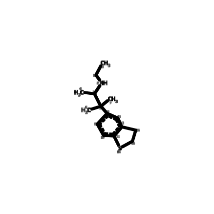 CCNC(C)C(C)(C)c1ccc2c(c1)CCS2